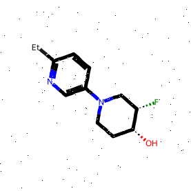 CCc1ccc(N2CC[C@@H](O)[C@@H](F)C2)cn1